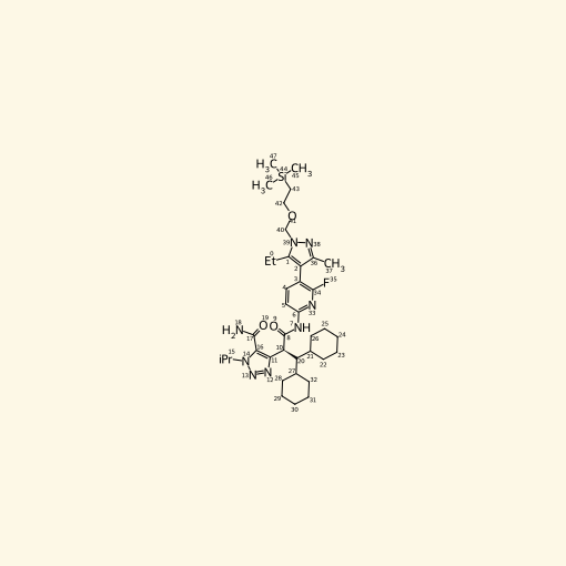 CCc1c(-c2ccc(NC(=O)[C@H](c3nnn(C(C)C)c3C(N)=O)C(C3CCCCC3)C3CCCCC3)nc2F)c(C)nn1COCC[Si](C)(C)C